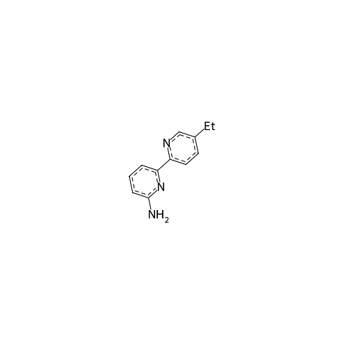 CCc1ccc(-c2cccc(N)n2)nc1